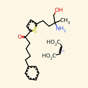 CC(N)(CO)CCc1ccc(C(=O)CCCCc2ccccc2)s1.O=C(O)/C=C\C(=O)O